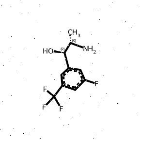 C[C@H](N)[C@H](O)c1cc(F)cc(C(F)(F)F)c1